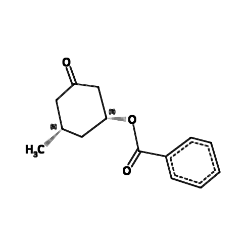 C[C@@H]1CC(=O)C[C@H](OC(=O)c2ccccc2)C1